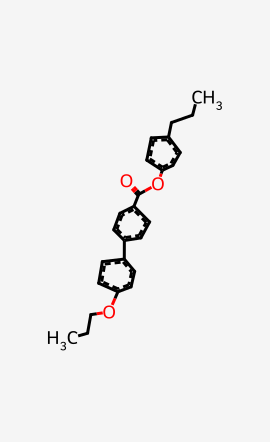 CCCOc1ccc(-c2ccc(C(=O)Oc3ccc(CCC)cc3)cc2)cc1